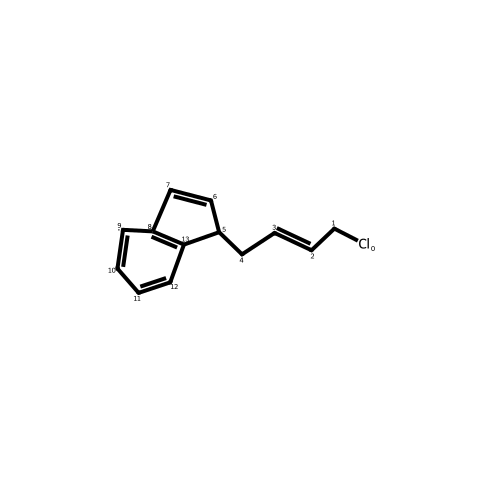 ClC/C=C/CC1C=Cc2[c]cccc21